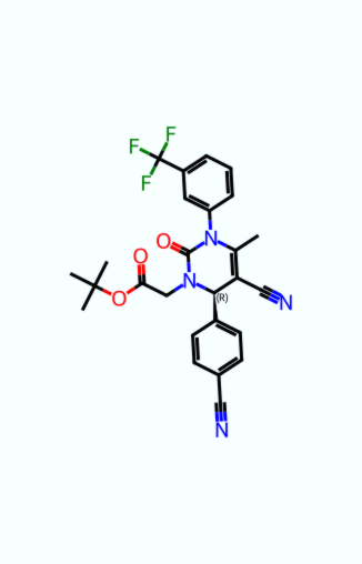 CC1=C(C#N)[C@@H](c2ccc(C#N)cc2)N(CC(=O)OC(C)(C)C)C(=O)N1c1cccc(C(F)(F)F)c1